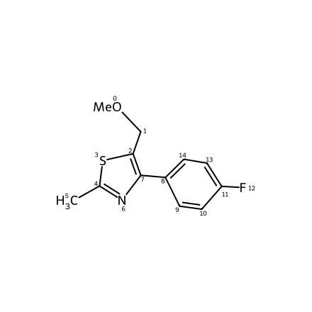 COCc1sc(C)nc1-c1ccc(F)cc1